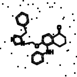 O=C1CCCc2c1ccc(OCCn1cncc1Cc1ccccc1)c2Nc1ccccc1